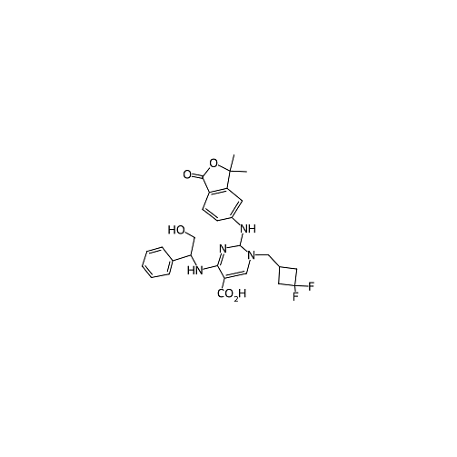 CC1(C)OC(=O)c2ccc(NC3N=C(NC(CO)c4ccccc4)C(C(=O)O)=CN3CC3CC(F)(F)C3)cc21